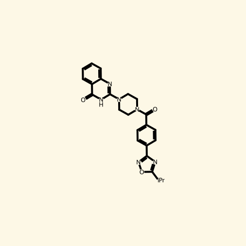 CC(C)c1nc(-c2ccc(C(=O)N3CCN(c4nc5ccccc5c(=O)[nH]4)CC3)cc2)no1